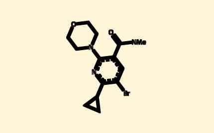 CNC(=O)c1cc(Br)c(C2CC2)nc1N1CCOCC1